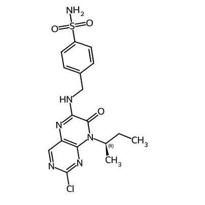 CC[C@@H](C)n1c(=O)c(NCc2ccc(S(N)(=O)=O)cc2)nc2cnc(Cl)nc21